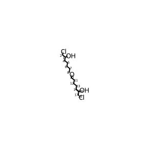 OC(CCl)CCCCCOCCCCCC(O)CCl